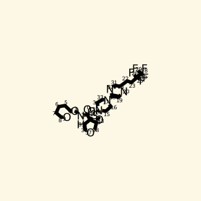 O=C(NOC1CCCCO1)C1(S(=O)(=O)N2CCN(c3cnc(CCC(F)(F)C(F)(F)F)cn3)CC2)CCOCC1